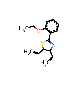 C=CC1N=C(c2ccccc2OCC)SC1C=C